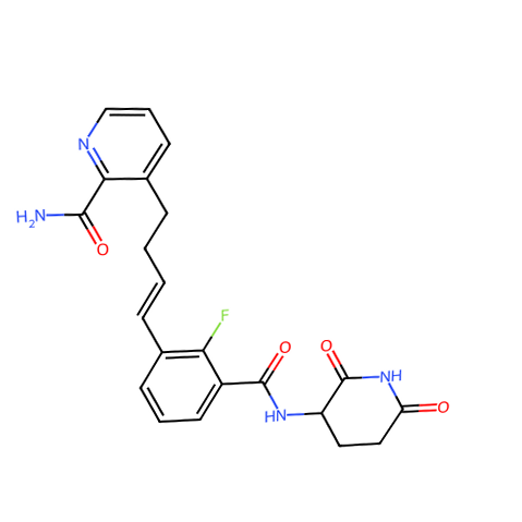 NC(=O)c1ncccc1CCC=Cc1cccc(C(=O)NC2CCC(=O)NC2=O)c1F